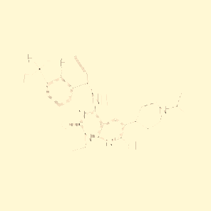 C=C[C@@H](Nc1nc(=O)n(CC)c2nc(Cl)c(C3CCN(C(C)C)CC3)cc12)c1cccc(C(F)(F)F)c1F